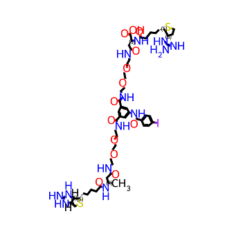 C[C@H](CC(=O)NCCOCCOCCNC(=O)c1cc(NC(=O)c2ccc(I)cc2)cc(C(=O)NCCOCCOCCNC(=O)C[C@H](NC(=O)CCCC[C@@H]2SCC[C@@H]2NC(=N)N)C(=O)O)c1)NC(=O)CCCC[C@@H]1SC[C@@H]2NC(=N)N[C@@H]21